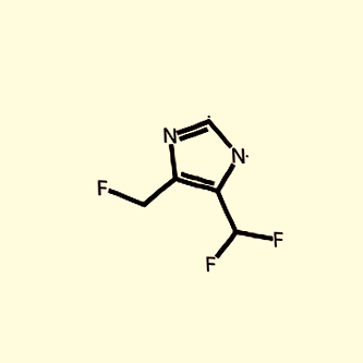 FCC1=C(C(F)F)[N][C]=N1